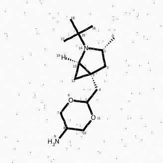 C[C@@H]1C[C@@]2(CC3OCC(N)CO3)C[C@H]2N1C(C)(C)C